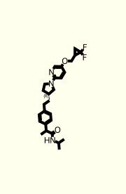 CC(C)NC(=O)C(C)c1ccc(CC[C@@H]2CCN(c3ccc(OCC4CC4(F)F)cn3)C2)cc1